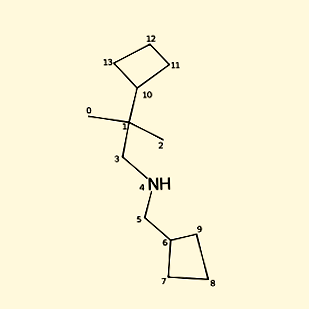 CC(C)(CNCC1CCC1)C1CCC1